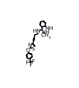 CN/C(NCCC#Cc1csc(Oc2ccc(C(F)(F)F)cc2)n1)=C1/C=CC=CC1=N